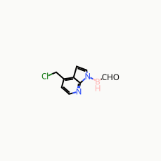 O=CBn1ccc2c(CCl)ccnc21